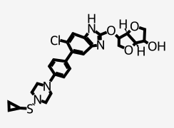 OC1CO[C@@H]2C(Oc3nc4cc(-c5ccc(N6CCN(SC7CC7)CC6)cc5)c(Cl)cc4[nH]3)CO[C@H]12